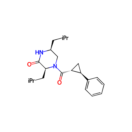 CC(C)C[C@H]1CN(C(=O)[C@@H]2C[C@H]2c2ccccc2)[C@@H](CC(C)C)C(=O)N1